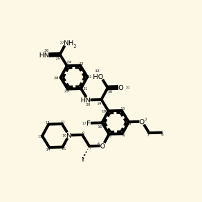 CCOc1cc(O[C@H](C)CN2CCCCC2)c(F)c(C(Nc2ccc(C(=N)N)cc2)C(=O)O)c1